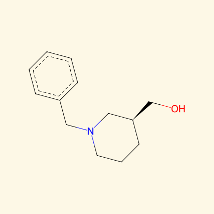 OC[C@H]1CCCN(Cc2ccccc2)C1